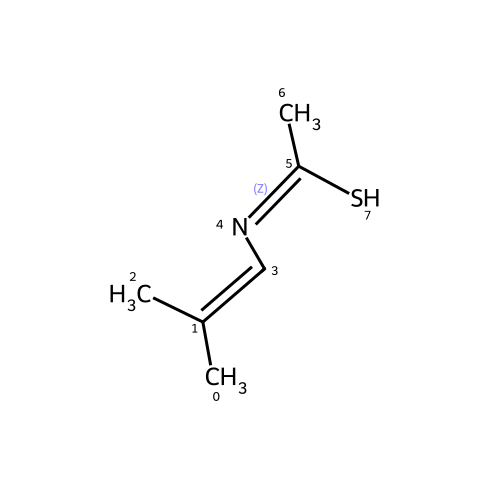 CC(C)=C/N=C(/C)S